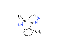 Cc1ccccc1-c1nnccc1[C@H](C)N